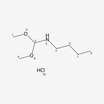 CCCCNC(OC)OC.Cl